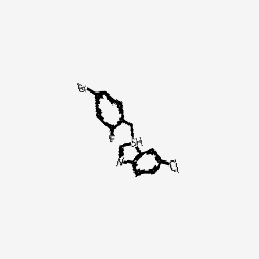 Fc1cc(Br)ccc1C[SH]1C=Nc2ccc(Cl)cc21